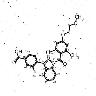 COCCOc1cc(C)c(C(=O)n2nc(-c3ccc(C(=O)O)cc3F)c3ncccc32)c(Cl)c1